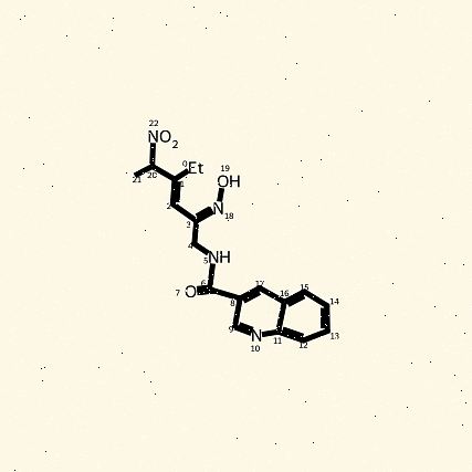 CCC(=CC(CNC(=O)c1cnc2ccccc2c1)=NO)C(C)[N+](=O)[O-]